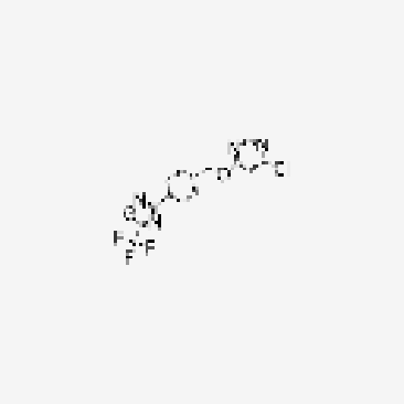 FC(F)(F)c1nc(-c2ccc(COc3cc(Cl)ncn3)cc2)no1